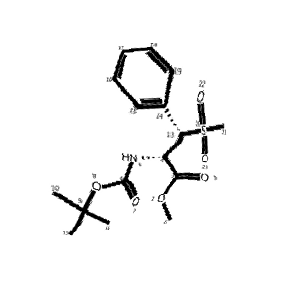 COC(=O)[C@H](NC(=O)OC(C)(C)C)[C@H](c1ccccc1)S(C)(=O)=O